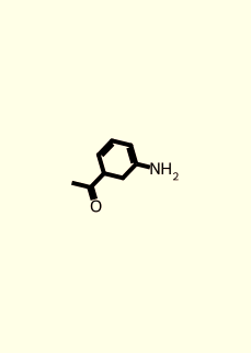 CC(=O)C1C=CC=C(N)C1